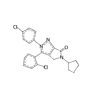 O=C1c2nn(-c3ccc(Cl)cc3)c(-c3ccccc3Cl)c2CN1C1CCCC1